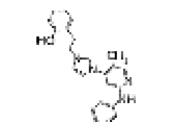 Cc1cnc(Nc2ccccc2)cc1N1C=CN(CCc2ccccc2O)C1